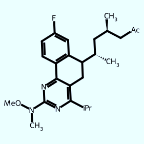 CON(C)c1nc2c(c(C(C)C)n1)CC([C@@H](C)C[C@@H](C)CC(C)=O)c1cc(F)ccc1-2